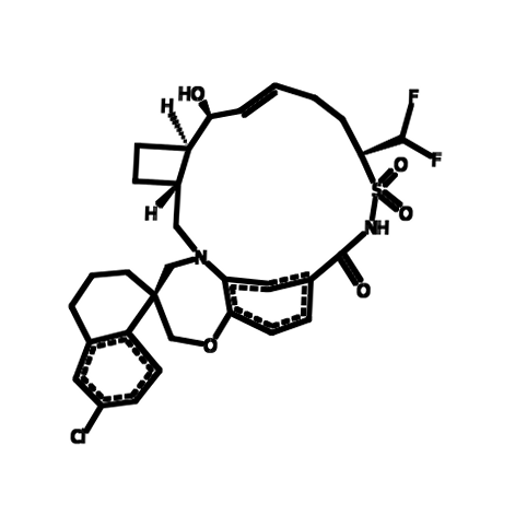 O=C1NS(=O)(=O)[C@H](C(F)F)CC/C=C/[C@H](O)[C@@H]2CC[C@H]2CN2C[C@@]3(CCCc4cc(Cl)ccc43)COc3ccc1cc32